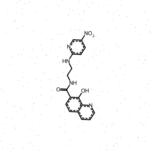 O=C(NCCNc1ccc([N+](=O)[O-])cn1)c1ccc2cccnc2c1O